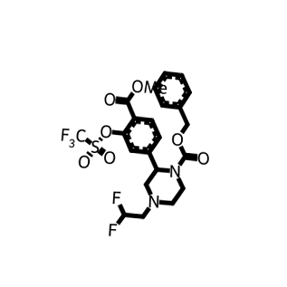 COC(=O)c1ccc(C2CN(CC(F)F)CCN2C(=O)OCc2ccccc2)cc1OS(=O)(=O)C(F)(F)F